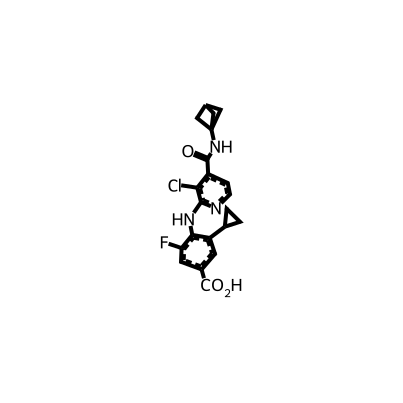 O=C(O)c1cc(F)c(Nc2nccc(C(=O)NC34CC(C3)C4)c2Cl)c(C2CC2)c1